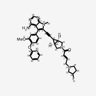 COc1cc(-c2c(C#CC3[C@H]4CN(C(=O)/C=C/CN5CCC(F)C5)C[C@@H]34)n(C)c3ncnc(N)c23)ccc1Oc1ccccn1